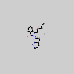 CCOC(=O)C(C(=O)CCC(C)C)C1c2ccccc2C(=O)N1c1ccc2ccc(F)nc2n1